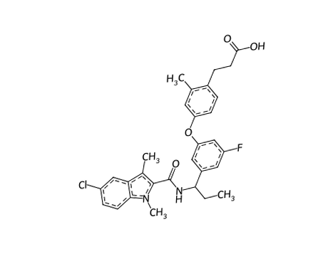 CCC(NC(=O)c1c(C)c2cc(Cl)ccc2n1C)c1cc(F)cc(Oc2ccc(CCC(=O)O)c(C)c2)c1